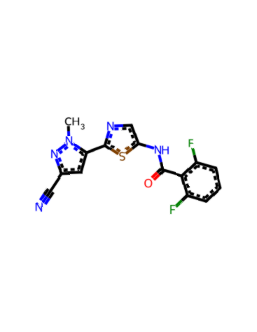 Cn1nc(C#N)cc1-c1ncc(NC(=O)c2c(F)cccc2F)s1